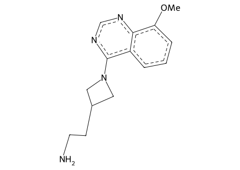 COc1cccc2c(N3CC(CCN)C3)ncnc12